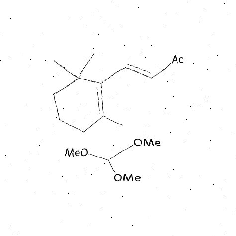 CC(=O)/C=C/C1=C(C)CCCC1(C)C.COC(OC)OC